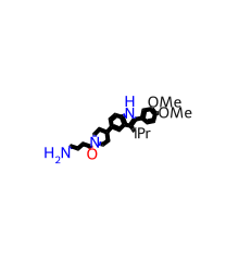 COc1ccc(-c2[nH]c3ccc(C4CCN(C(=O)CCCN)CC4)cc3c2C(C)C)cc1OC